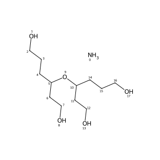 N.OCCCC(CCO)OC(CCO)CCCO